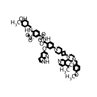 COc1ccc(CN2CCN(C3CC4(CCN(c5ccc(C(=O)NS(=O)(=O)c6ccc(NCC7CCC(C)(O)CC7)c([N+](=O)[O-])c6)c(Oc6cnc7[nH]ccc7c6)c5)CC4)C3)C(c3cnccc3C(C)C)C2)cc1